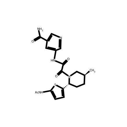 CC(=O)Nc1ccc([C@H]2CC[C@H](C)CN2C(=O)C(=O)Nc2cncc(C(N)=O)c2)s1